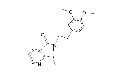 COc1ccc(CCNC(=O)c2cccnc2OC)cc1OC